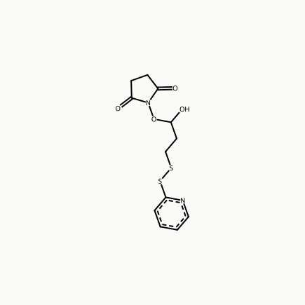 O=C1CCC(=O)N1OC(O)CCSSc1ccccn1